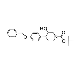 CC(C)(C)OC(=O)N1CCC(c2ccc(OCc3ccccc3)cc2)C(O)C1